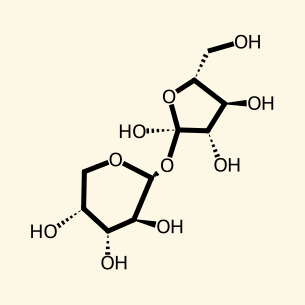 OC[C@H]1O[C@](O)(O[C@H]2OC[C@@H](O)[C@@H](O)[C@@H]2O)[C@@H](O)[C@@H]1O